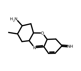 CC1CC2N=C3C=CC(=N)CC3OC2CC1N